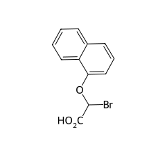 O=C(O)C(Br)Oc1cccc2ccccc12